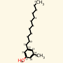 CCCCCCCCCCCCc1cc(C)cc(O)c1